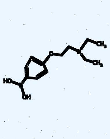 CCN(CC)CCOc1ccc(B(O)O)cc1